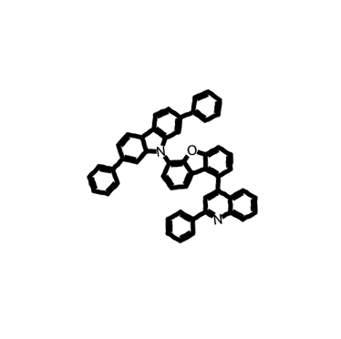 C1=CC2c3ccc(-c4ccccc4)cc3N(c3cccc4c3oc3cccc(-c5cc(-c6ccccc6)nc6ccccc56)c34)C2C=C1c1ccccc1